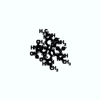 Cc1nc(CCC(N)(CCc2nc(C)[nH]c2[N+](=O)[O-])C(CCCN)(CCc2nc(C)[nH]c2[N+](=O)[O-])CCc2nc(C)[nH]c2[N+](=O)[O-])c([N+](=O)[O-])[nH]1